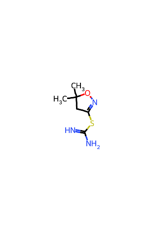 CC1(C)CC(SC(=N)N)=NO1